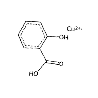 O=C(O)c1ccccc1O.[Cu+2]